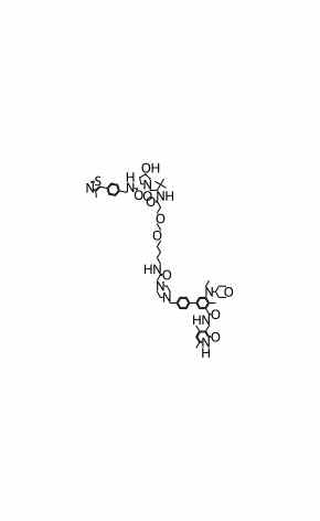 CCN(c1cc(-c2ccc(CN3CCN(CC(=O)NCCCCCOCCOCCC(=O)NC(C(=O)N4C[C@H](O)C[C@H]4C(=O)NCc4ccc(-c5scnc5C)cc4)C(C)(C)C)CC3)cc2)cc(C(=O)NCc2c(C)cc(C)[nH]c2=O)c1C)C1CCOCC1